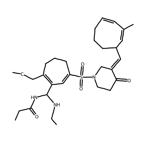 CCCC1=C(C(NCC)NC(=O)CC)C=C(S(=O)(=O)N2CCC(=O)/C(=C/C3/C=C(C)\C=C/CCC3)C2)CCC1